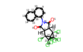 O=C1[C@@H]2[C@H](C(=O)N1c1cccc3ccccc13)[C@]1(Cl)C(Cl)=C(Cl)[C@@]2(Cl)C1(Cl)Cl